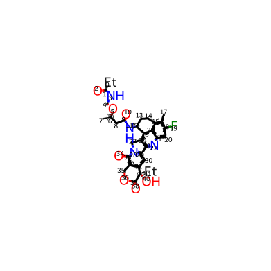 CCC(=O)NCO[C@H](C)CC(=O)N[C@H]1CCc2c(C)c(F)cc3nc4c(c1c23)Cn1c-4cc2c(c1=O)COC(=O)[C@]2(O)CC